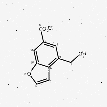 CCOC(=O)c1cc(CO)c2ccoc2c1